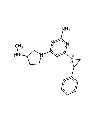 CNC1CCN(c2cc([C@@H]3CC3c3ccccc3)nc(N)n2)C1